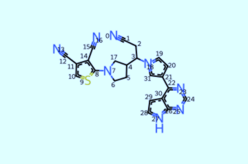 N#CCC(C1CCN(c2scc(C#N)c2C#N)C1)n1ccc(-c2ncnc3[nH]ccc23)c1